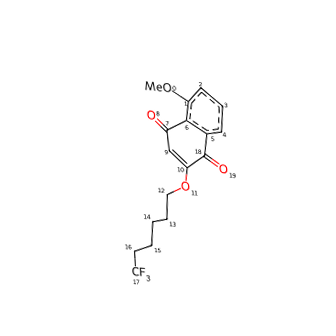 COc1cccc2c1C(=O)C=C(OCCCCCC(F)(F)F)C2=O